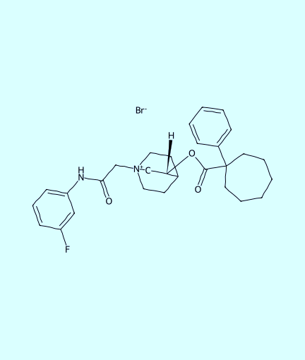 O=C(C[N+]12CCC(CC1)[C@@H](OC(=O)C1(c3ccccc3)CCCCCC1)C2)Nc1cccc(F)c1.[Br-]